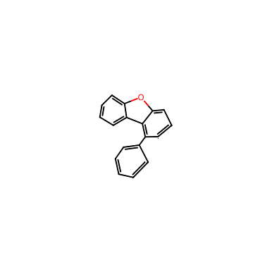 [c]1ccc2oc3ccccc3c2c1-c1ccccc1